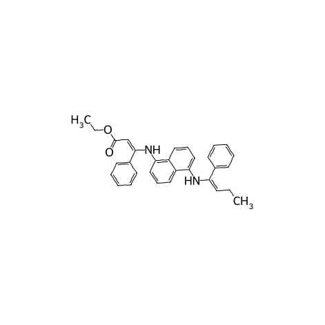 CC/C=C(/Nc1cccc2c(N/C(=C/C(=O)OCC)c3ccccc3)cccc12)c1ccccc1